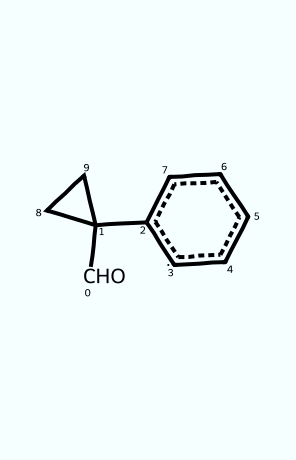 O=CC1(c2[c]cccc2)CC1